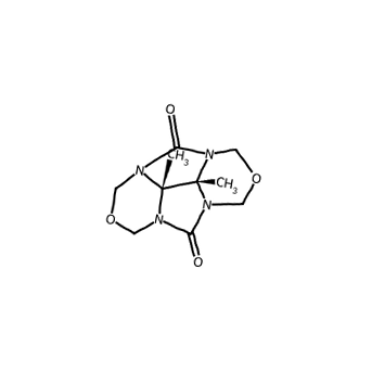 C[C@]12N3COCN1C(=O)N1COCN(C3=O)[C@]12C